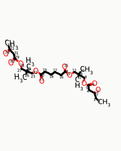 CCC(=O)CC(=O)OCC(C)(C)COC(=O)CCCCC(=O)OCC(C)(C)COC(=O)CC(C)=O